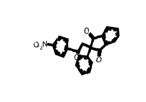 O=C(CC1(c2ccccc2)C(=O)c2ccccc2C1=O)c1ccc([N+](=O)[O-])cc1